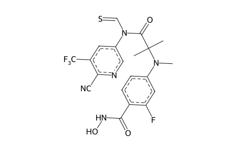 CN(c1ccc(C(=O)NO)c(F)c1)C(C)(C)C(=O)N(C=S)c1cnc(C#N)c(C(F)(F)F)c1